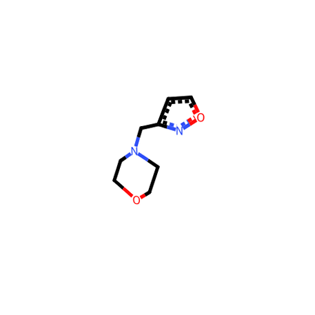 c1cc(CN2CCOCC2)no1